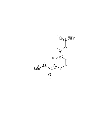 CC(C)C(=O)CO[C@H]1CCCN(C(=O)OC(C)(C)C)C1